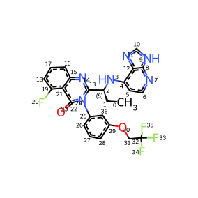 CC[C@H](Nc1ccnc2[nH]cnc12)c1nc2cccc(F)c2c(=O)n1-c1cccc(OCC(F)(F)F)c1